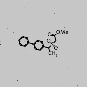 COC(=O)CS(=O)(=O)C(C)c1ccc(-c2ccccc2)cc1